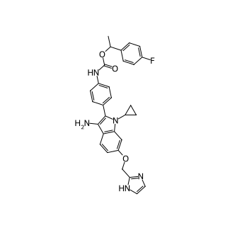 CC(OC(=O)Nc1ccc(-c2c(N)c3ccc(OCc4ncc[nH]4)cc3n2C2CC2)cc1)c1ccc(F)cc1